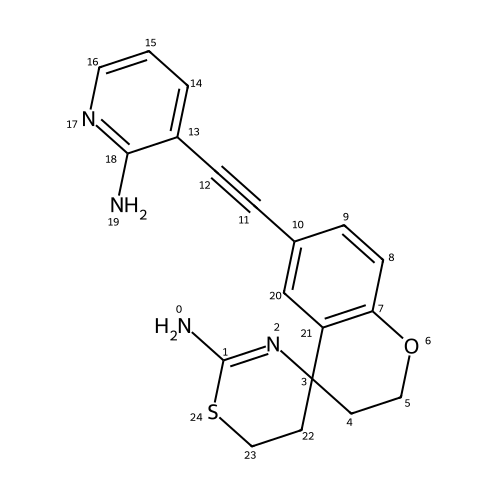 NC1=NC2(CCOc3ccc(C#Cc4cccnc4N)cc32)CCS1